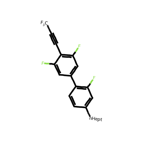 CCCCCCCc1ccc(-c2cc(F)c(C#CC(F)(F)F)c(F)c2)c(F)c1